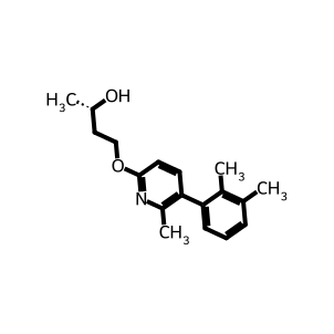 Cc1cccc(-c2ccc(OCC[C@H](C)O)nc2C)c1C